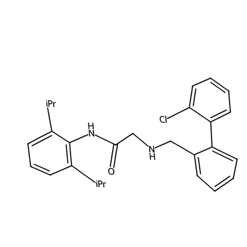 CC(C)c1cccc(C(C)C)c1NC(=O)CNCc1ccccc1-c1ccccc1Cl